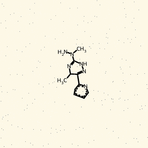 CC1N=C(N(C)N)NN=C1c1ccccn1